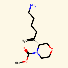 C=C(CCCCN)[C@@H]1COCCN1C(=O)OC(C)(C)C